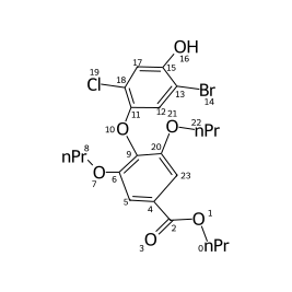 CCCOC(=O)c1cc(OCCC)c(Oc2cc(Br)c(O)cc2Cl)c(OCCC)c1